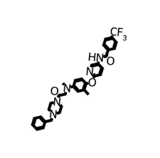 Cc1cc(N(C)CC(=O)N2CCN(Cc3ccccc3)CC2)ccc1Oc1ccc(NC(=O)c2ccc(C(F)(F)F)cc2)cn1